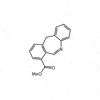 COC(=O)c1cccc2c1C=Nc1ccccc1C2